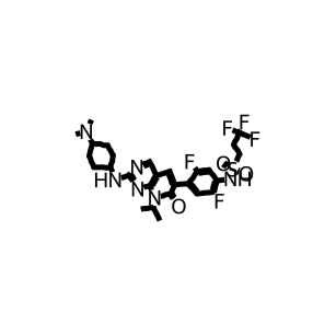 CC(C)n1c(=O)c(-c2cc(F)c(NS(=O)(=O)CCC(F)(F)F)cc2F)cc2cnc(NC3CCC(N(C)C)CC3)nc21